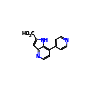 O=C(O)c1cc2nccc(-c3ccncc3)c2[nH]1